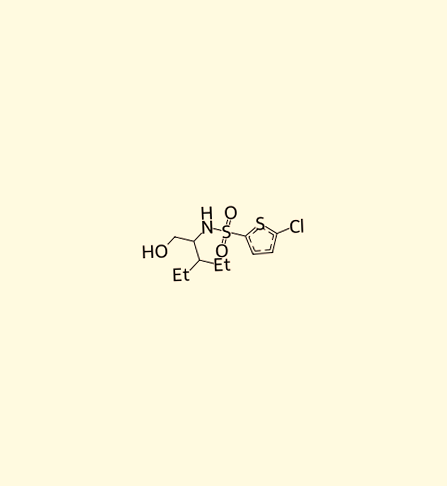 CCC(CC)C(CO)NS(=O)(=O)c1ccc(Cl)s1